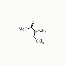 COC(=O)N(C)CC(Cl)(Cl)Cl